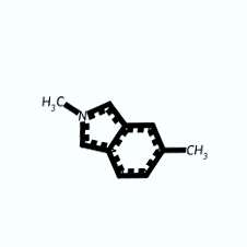 Cc1ccc2cn(C)cc2c1